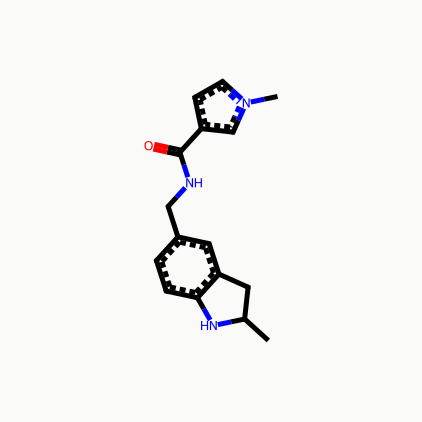 CC1Cc2cc(CNC(=O)c3ccn(C)c3)ccc2N1